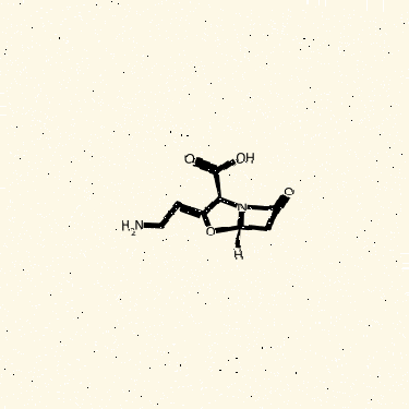 NCC=C1O[C@H]2CC(=O)N2[C@@H]1C(=O)O